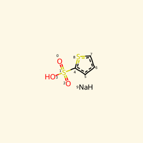 O=S(=O)(O)c1cccs1.[NaH]